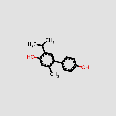 Cc1cc(O)c(C(C)C)cc1-c1ccc(O)cc1